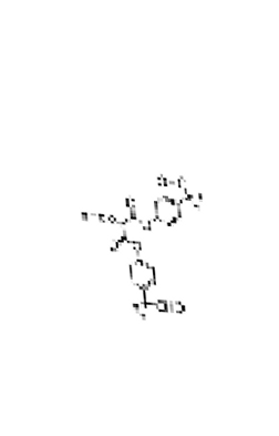 CCCCCCC(C(=O)Oc1ccc(C2(C=O)CC2)cc1)C(=O)Oc1ccc(C2(C=O)CC2)cc1